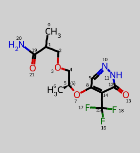 CC(COC[C@H](C)Oc1cn[nH]c(=O)c1C(F)(F)F)C(N)=O